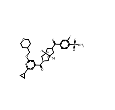 NS(=O)(=O)c1ccc(C(=O)C2C[C@H]3CN(C(=O)c4cc(OCC5CCOCC5)nc(C5CC5)c4)C[C@@H]3C2)cc1F